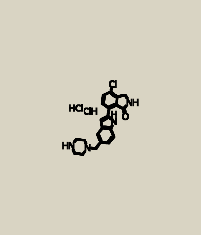 Cl.Cl.O=C1NCc2c(Cl)ccc(-c3cc4cc(CN5CCNCC5)ccc4[nH]3)c21